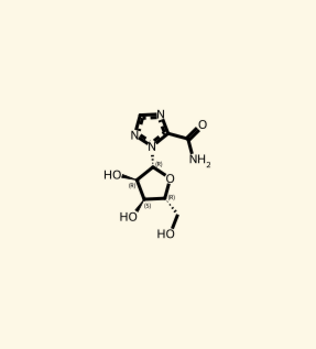 NC(=O)c1ncnn1[C@@H]1O[C@H](CO)[C@@H](O)[C@H]1O